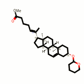 COC(=O)CCC/C=C(\C)[C@H]1CC[C@H]2[C@@H]3CC=C4C[C@@H](OC5CCCCO5)CC[C@]4(C)[C@H]3CC[C@]12C